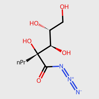 CCC[C@](O)(C(=O)N=[N+]=[N-])[C@H](O)[C@H](O)CO